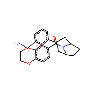 NCc1cccc(C2CC3CCC(C2)N3C(=O)c2ccc3c(c2)OCCO3)c1